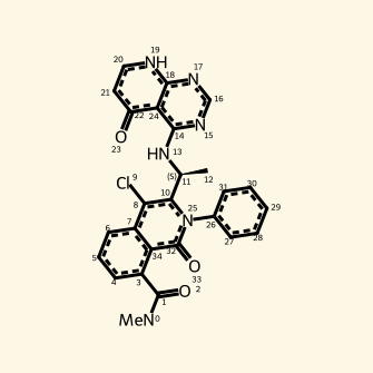 CNC(=O)c1cccc2c(Cl)c([C@H](C)Nc3ncnc4[nH]ccc(=O)c34)n(-c3ccccc3)c(=O)c12